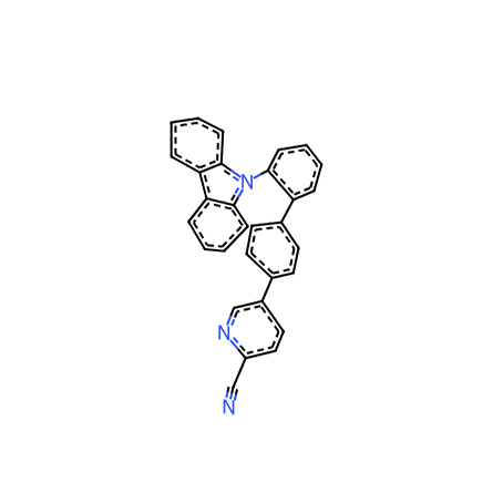 N#Cc1ccc(-c2ccc(-c3ccccc3-n3c4ccccc4c4ccccc43)cc2)cn1